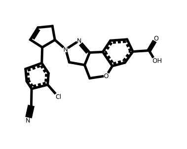 N#Cc1ccc(C2C=CCC2N2CC3COc4cc(C(=O)O)ccc4C3=N2)cc1Cl